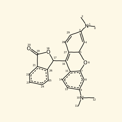 CN(C)C1=CC2Oc3cc(N(C)C)ccc3C(C3OC(=O)c4ccccc43)=C2C=C1